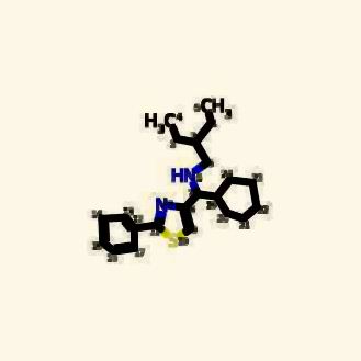 CCC(CC)CNC(c1csc(-c2ccccc2)n1)C1CCCCC1